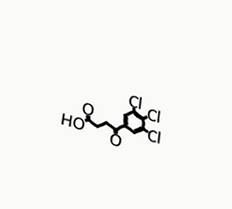 O=C(O)CCC(=O)c1cc(Cl)c(Cl)c(Cl)c1